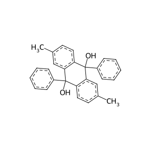 Cc1ccc2c(c1)C(O)(c1ccccc1)c1ccc(C)cc1C2(O)c1ccccc1